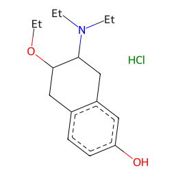 CCOC1Cc2ccc(O)cc2CC1N(CC)CC.Cl